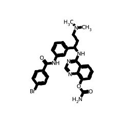 CN(C)CCC(Nc1ncnc2c(OC(N)=O)cccc12)c1cccc(NC(=O)c2ccc(Br)cc2)c1